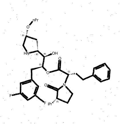 CCCO[C@H]1CN[C@@H]([C@@H](O)[C@H](Cc2cc(F)cc(F)c2)OC(=O)[C@H](CCc2ccccc2)N2CC[C@H](C(C)C)C2=O)C1